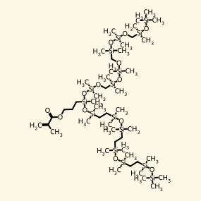 C=C(C)C(=O)OCCC[Si](C)(O[Si](C)(C)CC[Si](C)(C)O[Si](C)(C)CC[Si](C)(C)O[Si](C)(C)CC[Si](C)(C)O[Si](C)(C)C)O[Si](C)(C)OC[Si](C)(C)O[Si](C)(C)OC[Si](C)(C)O[Si](C)(C)OC[Si](C)(C)O[Si](C)(C)C